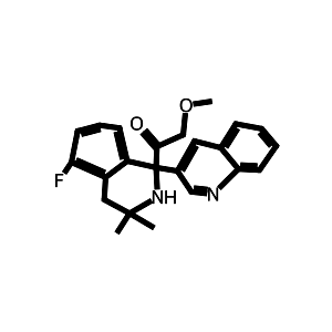 COCC(=O)C1(c2cnc3ccccc3c2)NC(C)(C)Cc2c(F)cccc21